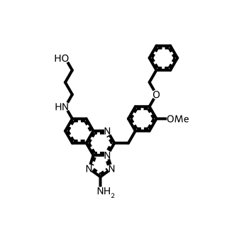 COc1cc(Cc2nc3cc(NCCCO)ccc3c3nc(N)nn23)ccc1OCc1ccccc1